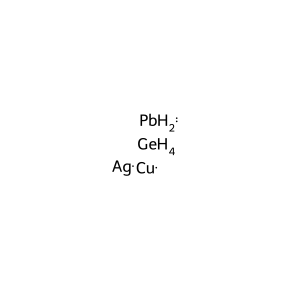 [Ag].[Cu].[GeH4].[PbH2]